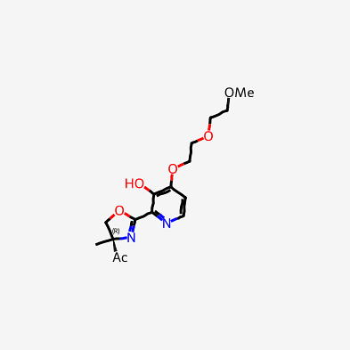 COCCOCCOc1ccnc(C2=N[C@@](C)(C(C)=O)CO2)c1O